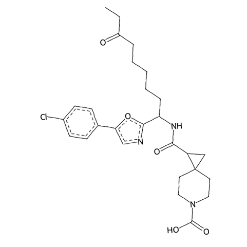 CCC(=O)CCCCCC(NC(=O)C1CC12CCN(C(=O)O)CC2)c1ncc(-c2ccc(Cl)cc2)o1